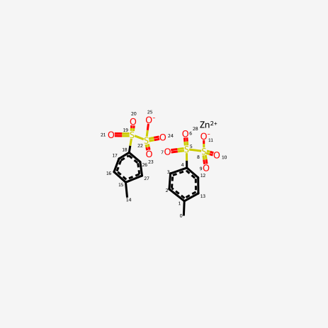 Cc1ccc(S(=O)(=O)S(=O)(=O)[O-])cc1.Cc1ccc(S(=O)(=O)S(=O)(=O)[O-])cc1.[Zn+2]